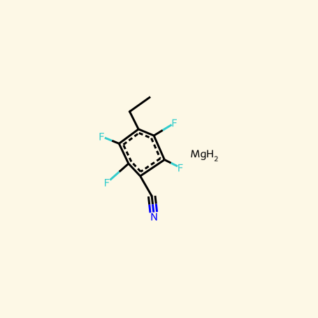 CCc1c(F)c(F)c(C#N)c(F)c1F.[MgH2]